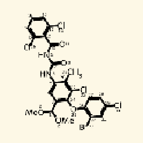 COC(OC)c1cc(NC(=O)NC(=O)c2c(Cl)cccc2Cl)c(C)c(Cl)c1Oc1ccc(Cl)cc1Br